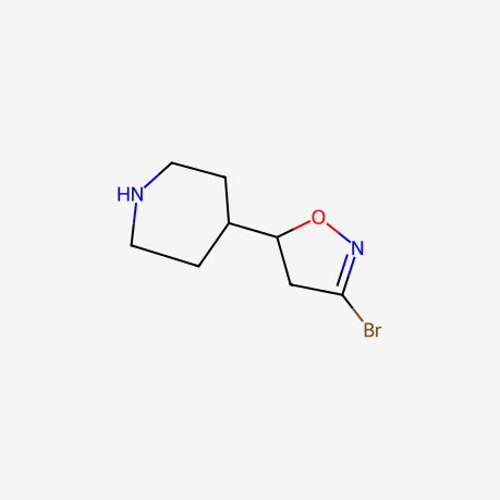 BrC1=NOC(C2CCNCC2)C1